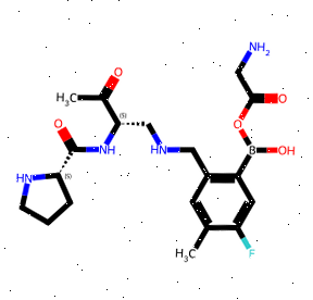 CC(=O)[C@H](CNCc1cc(C)c(F)cc1B(O)OC(=O)CN)NC(=O)[C@@H]1CCCN1